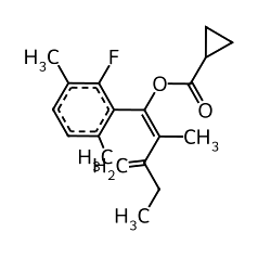 C=C(CC)/C(C)=C(/OC(=O)C1CC1)c1c(C)ccc(C)c1F